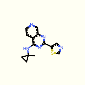 CC1(Nc2nc(-c3cncs3)nc3cnccc23)CC1